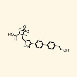 C[C@@]1(C[C@H]2CC(c3ccc(-c4ccc(CCO)cc4)cc3)=NO2)C(NO)OS1(=O)=O